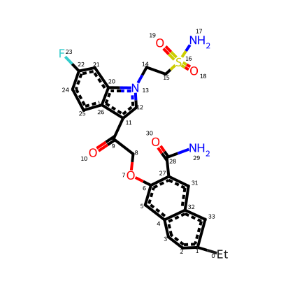 CCc1ccc2cc(OCC(=O)c3cn(CCS(N)(=O)=O)c4cc(F)ccc34)c(C(N)=O)cc2c1